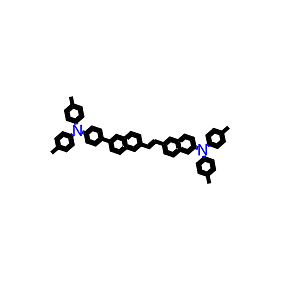 Cc1ccc(N(c2ccc(C)cc2)c2ccc(-c3ccc4cc(/C=C/c5ccc6cc(N(c7ccc(C)cc7)c7ccc(C)cc7)ccc6c5)ccc4c3)cc2)cc1